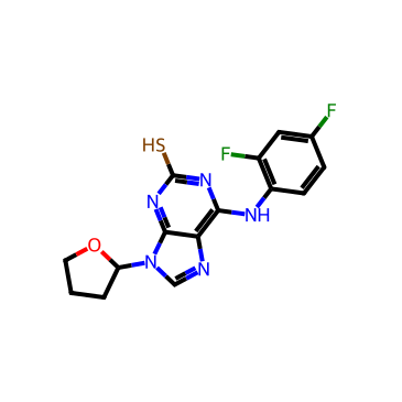 Fc1ccc(Nc2nc(S)nc3c2ncn3C2CCCO2)c(F)c1